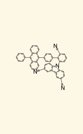 N#Cc1ccc2c(c1)c1cc(C#N)ccc1n2-c1cccc(C#N)c1-c1ccc(-c2c3ccccc3c(-c3ccccc3)c3ccccc23)cc1